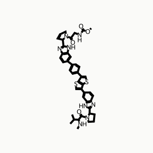 CNC(C(=O)N1CCCC1c1nc2ccc(-c3csc4c(-c5ccc(-c6ccc7nc(C8C=CCN8C(=O)CNC(=O)OC)[nH]c7c6)cc5)csc34)cc2[nH]1)C(C)C